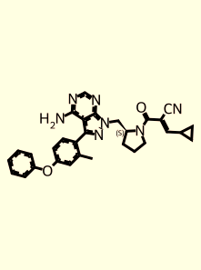 Cc1cc(Oc2ccccc2)ccc1-c1nn(C[C@@H]2CCCN2C(=O)C(C#N)=CC2CC2)c2ncnc(N)c12